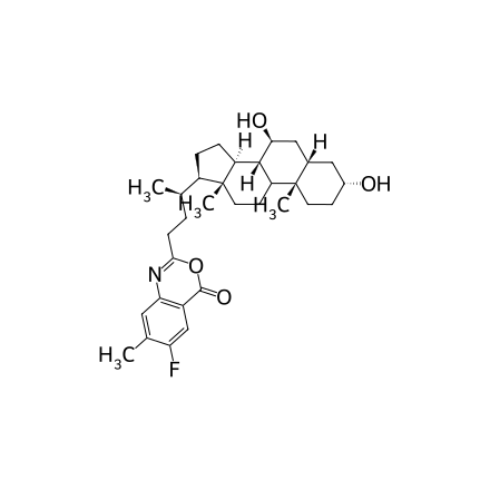 Cc1cc2nc(CC[C@@H](C)[C@H]3CC[C@H]4[C@H]5C(CC[C@]34C)[C@@]3(C)CC[C@@H](O)C[C@H]3C[C@@H]5O)oc(=O)c2cc1F